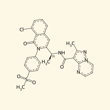 Cc1nn2cccnc2c1C(=O)N[C@@H](C)c1cc2cccc(Cl)c2c(=O)n1-c1ccc(S(C)(=O)=O)cc1